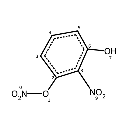 O=[N+]([O-])Oc1cccc(O)c1[N+](=O)[O-]